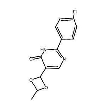 CC1OC(c2cnc(-c3ccc(Cl)cc3)[nH]c2=O)O1